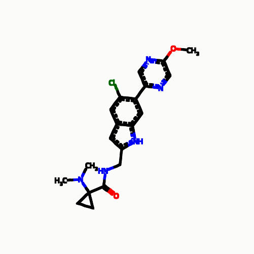 COc1cnc(-c2cc3[nH]c(CNC(=O)C4(N(C)C)CC4)cc3cc2Cl)cn1